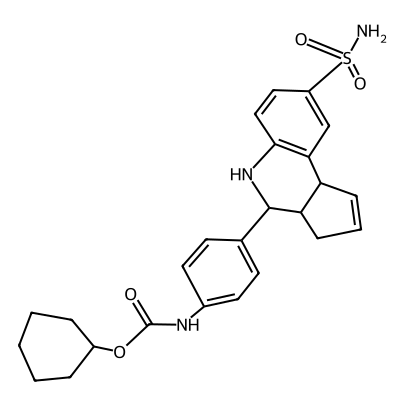 NS(=O)(=O)c1ccc2c(c1)C1C=CCC1C(c1ccc(NC(=O)OC3CCCCC3)cc1)N2